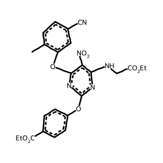 CCOC(=O)CNc1nc(Oc2ccc(C(=O)OCC)cc2)nc(Oc2cc(C#N)ccc2C)c1[N+](=O)[O-]